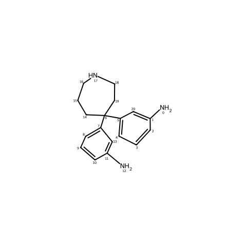 Nc1cccc(C2(c3cccc(N)c3)CCCNCC2)c1